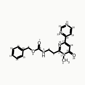 Cn1c(CCNC(=O)OCc2ccccc2)nc(-c2ccncn2)cc1=O